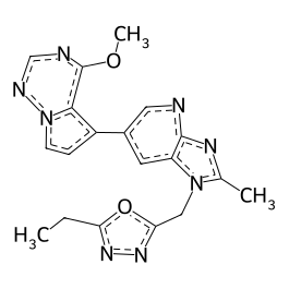 CCc1nnc(Cn2c(C)nc3ncc(-c4ccn5ncnc(OC)c45)cc32)o1